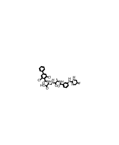 C[C@@H](NC(=O)c1cccc(NC2=NCC(F)CN2)c1)C(=O)NC[C@H](NC(=O)c1c(Cl)cc(-c2ccccc2)cc1Cl)C(=O)O